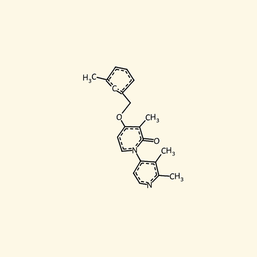 Cc1cccc(COc2ccn(-c3ccnc(C)c3C)c(=O)c2C)c1